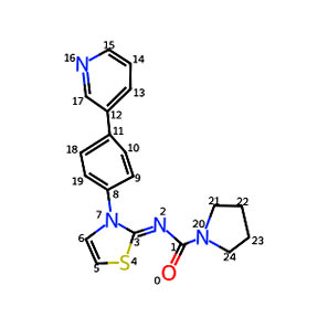 O=C(N=c1sccn1-c1ccc(-c2cccnc2)cc1)N1CCCC1